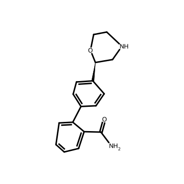 NC(=O)c1ccccc1-c1ccc([C@@H]2CNCCO2)cc1